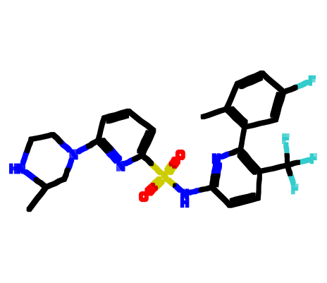 Cc1ccc(F)cc1-c1nc(NS(=O)(=O)c2cccc(N3CCNC(C)C3)n2)ccc1C(F)(F)F